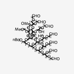 CCCCOCC(COCC(COCC(COCC(COCC=O)OCC=O)OCC(O)COCC=O)OCC(COCC(O)COCC=O)OCC=O)OCC(COCC(COCC(COCC=O)OCC=O)OCC(O)COCC=O)OCC(COCOC)OCOC